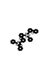 c1ccc(-c2nc(-c3cccc4c3oc3ccccc34)nc(-c3cccc4sc5c(-c6nc(-c7ccccc7)nc7c6sc6ccccc67)cccc5c34)n2)cc1